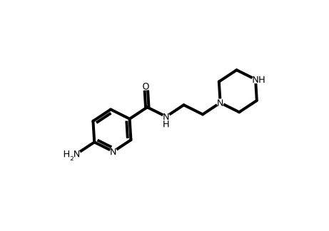 Nc1ccc(C(=O)NCCN2CCNCC2)cn1